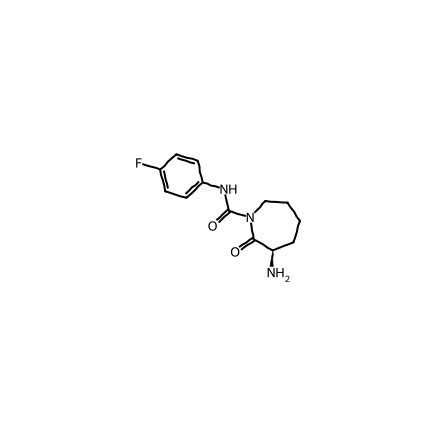 N[C@@H]1CCCCN(C(=O)Nc2ccc(F)cc2)C1=O